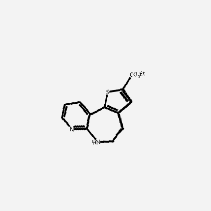 CCOC(=O)c1cc2c(s1)-c1cccnc1NCC2